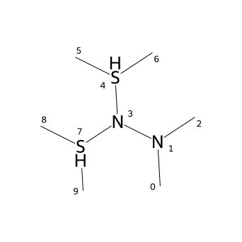 CN(C)N([SH](C)C)[SH](C)C